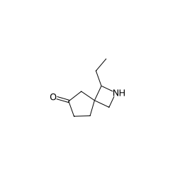 CCC1NCC12CCC(=O)C2